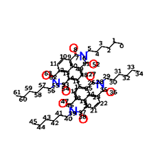 CCCCCCN1C(=O)c2ccc3c4c(c(-c5cc6c7c(ccc8c7c5C(=O)N(CCCCCC)C8=O)C(=O)N(CCCCCC)C6=O)cc(c24)C1=O)C(=O)N(CCCCCC)C3=O